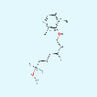 CCOC(C)(C)CCCC(C)CCOc1c(C)cccc1C